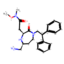 CON(C)C(=O)C[C@@H]1N[C@H](CN)CCN(CC(c2ccccc2)c2ccccc2)C1=O